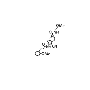 COCCNC(=O)N1CCc2c(sc(NC(=O)CCc3ccccc3OC)c2C#N)C1